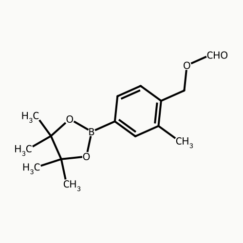 Cc1cc(B2OC(C)(C)C(C)(C)O2)ccc1COC=O